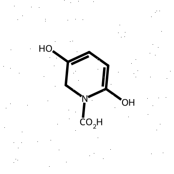 O=C(O)N1CC(O)=CC=C1O